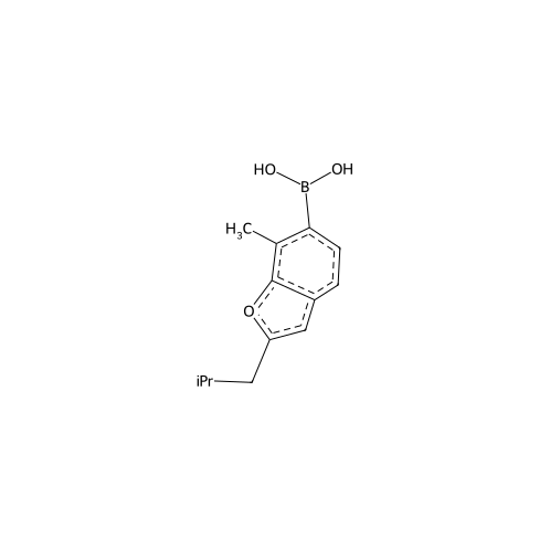 Cc1c(B(O)O)ccc2cc(CC(C)C)oc12